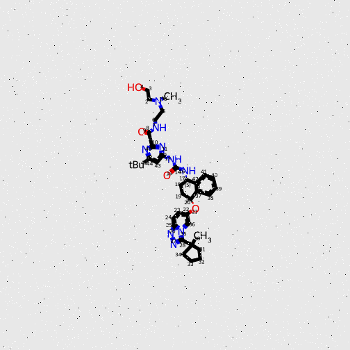 CN(CCO)CCNC(=O)c1nc(NC(=O)N[C@H]2CC[C@@H](Oc3ccc4nnc(C5(C)CCCC5)n4c3)c3ccccc32)cc(C(C)(C)C)n1